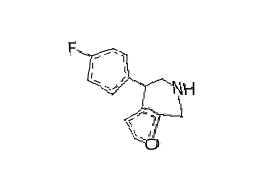 Fc1ccc(C2CNCc3occc32)cc1